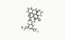 CN(Cc1cc(C(F)(F)F)cc(C(F)(F)F)c1)C(=O)c1c(-c2ccccc2)c2c(c(=O)n1C)CCCN2C